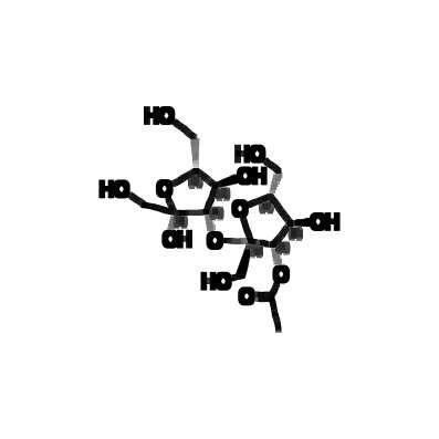 CC(=O)O[C@H]1[C@H](O)[C@@H](CO)O[C@@]1(CO)O[C@H]1[C@H](O)[C@@H](CO)O[C@]1(O)CO